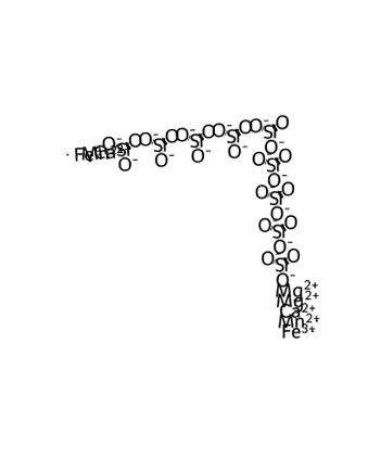 O=[Si]([O-])[O-].O=[Si]([O-])[O-].O=[Si]([O-])[O-].O=[Si]([O-])[O-].O=[Si]([O-])[O-].O=[Si]([O-])[O-].O=[Si]([O-])[O-].O=[Si]([O-])[O-].O=[Si]([O-])[O-].[Ca+2].[Ca+2].[Fe+3].[Fe+3].[Mg+2].[Mg+2].[Mn+2].[Mn+2]